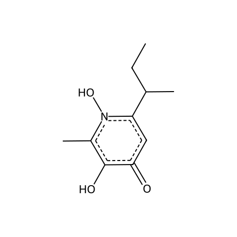 CCC(C)c1cc(=O)c(O)c(C)n1O